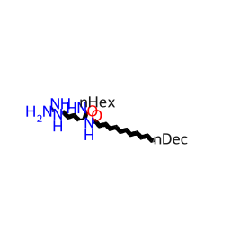 CCCCCCCCCCCCCCCCCCCCCC(=O)N[C@@H](CCCCNC(=N)N)C(=O)NCCCCCC